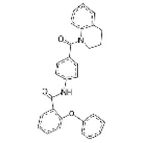 O=C(Nc1ccc(C(=O)N2CCCc3ccccc32)cc1)c1ccccc1Oc1ccccc1